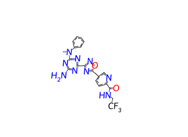 CN(c1ccccc1)c1nc(N)nc(-c2noc(-c3ccc(C(=O)NCC(F)(F)F)nc3)n2)n1